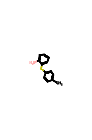 Bc1ccccc1Sc1ccc(C)cc1